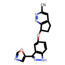 N#Cc1cc2c(nn1)C(Oc1ccc3[nH]nc(-c4cnco4)c3c1)CC2